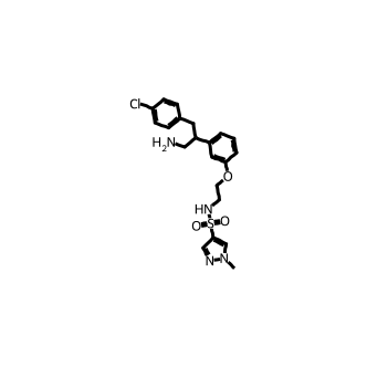 Cn1cc(S(=O)(=O)NCCOc2cccc(C(CN)Cc3ccc(Cl)cc3)c2)cn1